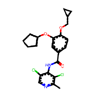 Cc1ncc(Cl)c(NC(=O)c2ccc(OCC3CC3)c(OC3CCCC3)c2)c1Cl